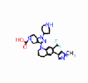 Cn1cc(-c2cc3c(cc2C(F)F)N(c2nn(C4CCNCC4)c4c2CN(C(=O)O)CC4)CCC3)cn1